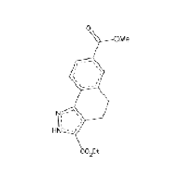 CCOC(=O)c1[nH]nc2c1CCc1cc(C(=O)OC)ccc1-2